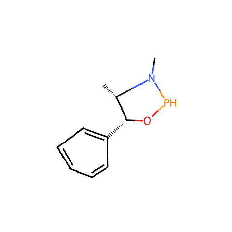 C[C@H]1[C@@H](c2ccccc2)OPN1C